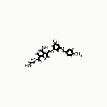 Cc1ccc(COc2cc(C)cc(OCc3csc4c(C(=O)NCCO)cnc(N)c34)c2)cc1